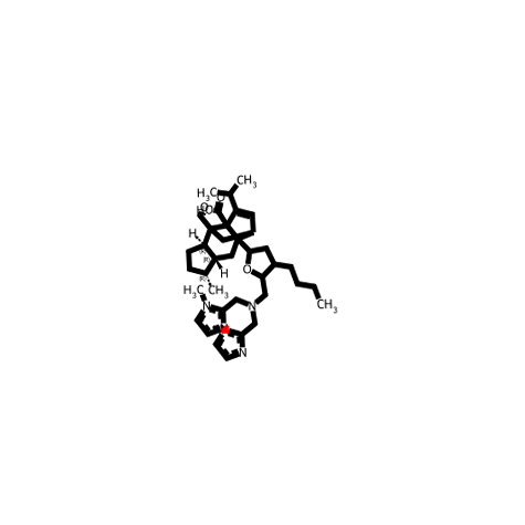 CCCCC1CC(C23C[C@@H]4[C@H](C)CC[C@H]4C4(C=O)CC2C=C(C(C)C)C34C(=O)O)OC1CN(Cc1ncc[nH]1)Cc1nccn1C